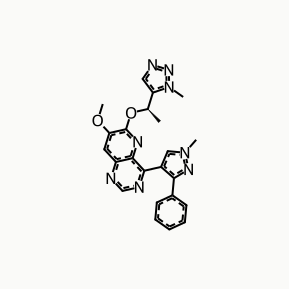 COc1cc2ncnc(-c3cn(C)nc3-c3ccccc3)c2nc1O[C@H](C)c1cnnn1C